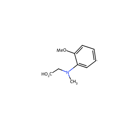 COc1cc[c]cc1N(C)CC(=O)O